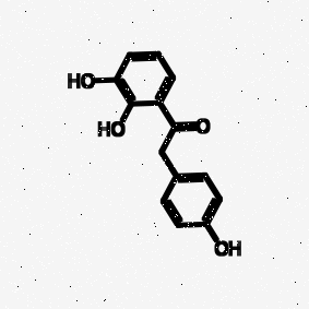 O=C(Cc1ccc(O)cc1)c1cccc(O)c1O